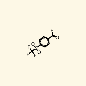 O=C(F)c1ccc(S(=O)(=O)C(F)(F)F)cc1